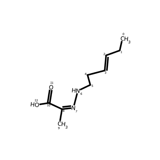 CCC=CCCNN=C(C)C(=O)O